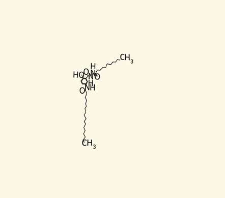 CCCCCCCCCCCCCCCCCC(=O)Nc1ccc(O)c(C(=O)NNC(=O)CCCCCCCCCCC)c1